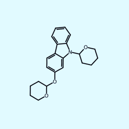 c1ccc2c(c1)c1ccc(OC3CCCCO3)cc1n2C1CCCCO1